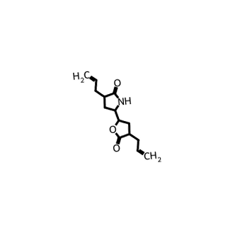 C=CCC1CC(C2CC(CC=C)C(=O)O2)NC1=O